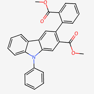 COC(=O)c1ccccc1-c1cc2c3ccccc3n(-c3ccccc3)c2cc1C(=O)OC